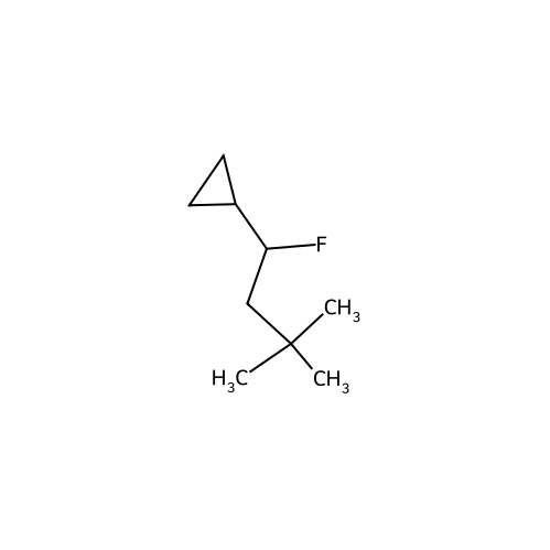 CC(C)(C)CC(F)C1CC1